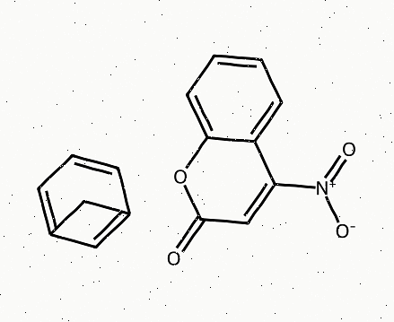 O=c1cc([N+](=O)[O-])c2ccccc2o1.c1cc2cc(c1)C2